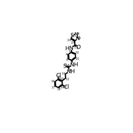 O=C(Nc1ccc(NC(=S)NCCc2c(Cl)cccc2Cl)cc1)c1csnn1